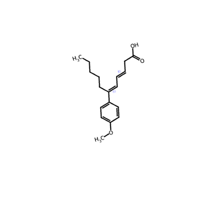 CCCCC/C(=C\C=C\CC(=O)O)c1ccc(OC)cc1